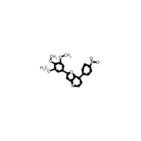 COc1cc(-c2cc3nccc(-c4ccc([N+](=O)[O-])cc4)c3o2)cc(OC)c1OC